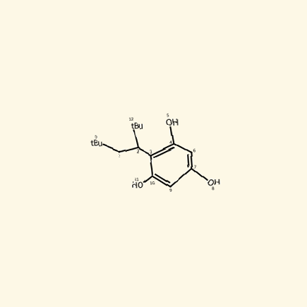 CC(C)(C)CC(c1c(O)cc(O)cc1O)C(C)(C)C